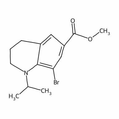 COC(=O)c1cc(Br)c2c(c1)CCCN2C(C)C